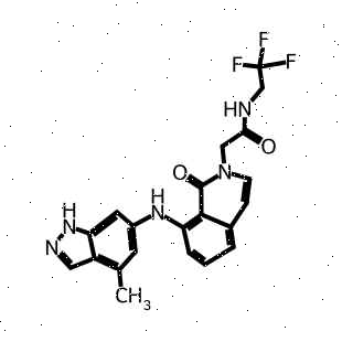 Cc1cc(Nc2cccc3ccn(CC(=O)NCC(F)(F)F)c(=O)c23)cc2[nH]ncc12